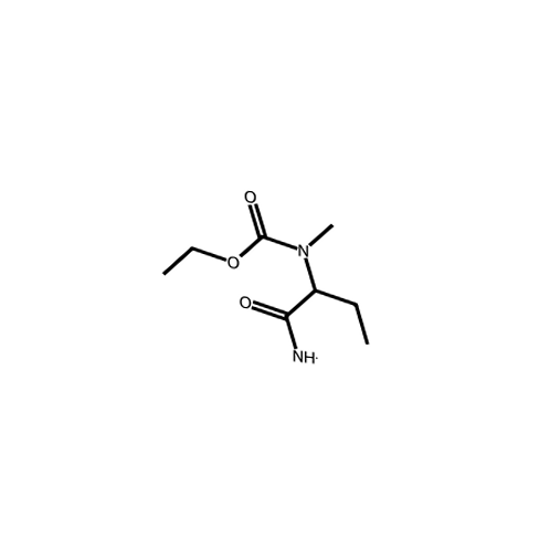 CCOC(=O)N(C)C(CC)C([NH])=O